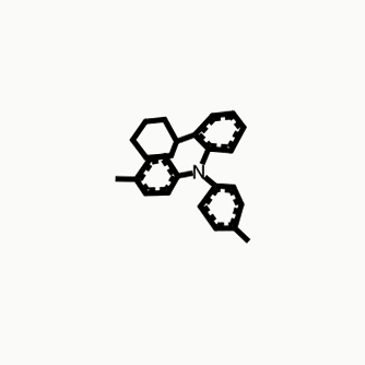 Cc1ccc(N(c2ccc(C)cc2)c2ccccc2C2CCCCC2)cc1